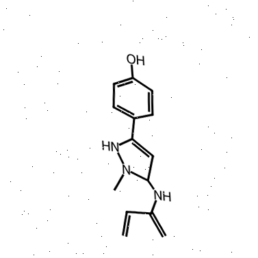 C=CC(=C)NC1C=C(c2ccc(O)cc2)NN1C